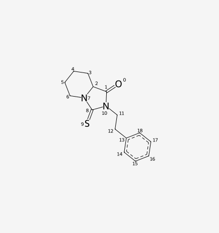 O=C1C2CCCCN2C(=S)N1CCc1ccccc1